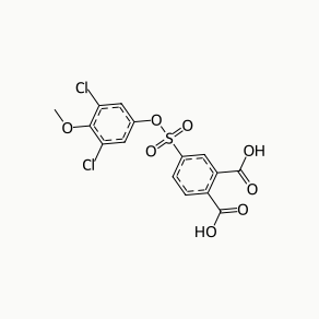 COc1c(Cl)cc(OS(=O)(=O)c2ccc(C(=O)O)c(C(=O)O)c2)cc1Cl